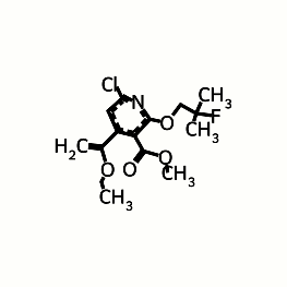 C=C(OCC)c1cc(Cl)nc(OCC(C)(C)F)c1C(=O)OC